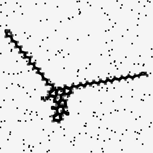 CCCCCCCCCCCCCCCCCCCCCc1ccc(Sc2ccc3c(c2Sc2ccc(CCCCCCCCCCCCCCCCCCCCC)cc2N)C(=O)c2ccccc2C3=O)c(N)c1